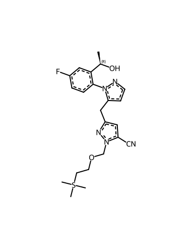 C[C@@H](O)c1cc(F)ccc1-n1nccc1Cc1cc(C#N)n(COCCS(C)(C)C)n1